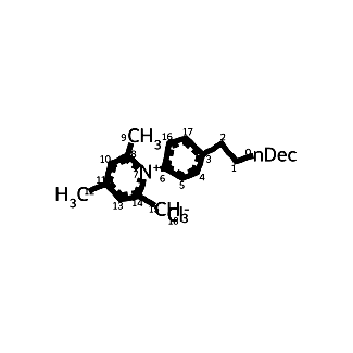 CCCCCCCCCCCCc1ccc(-[n+]2c(C)cc(C)cc2C)cc1.[Cl-]